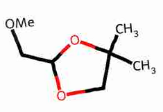 COCC1OCC(C)(C)O1